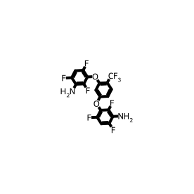 Nc1c(F)cc(F)c(Oc2ccc(C(F)(F)F)c(Oc3c(F)cc(F)c(N)c3F)c2)c1F